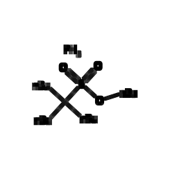 CCCCOS(=O)(=O)C(CCCC)(CCCC)CCCC.P